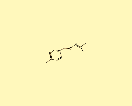 CC(C)=NOCc1ccc(C)nc1